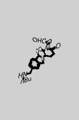 CCCCNCc1ccc2c(c1)CN(C1CCC(=O)N(OC=O)C1=O)C2=O